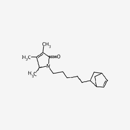 CC1=C(C)C(C)N(CCCCCC2CC3C=CC2C3)C1=O